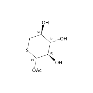 CC(=O)O[C@@H]1SC[C@@H](O)[C@H](O)[C@H]1O